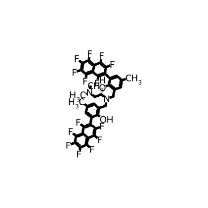 Cc1cc(CN(CCN(C)C)Cc2cc(C)cc(-c3c(F)c(F)c4c(F)c(F)c(F)c(F)c4c3F)c2O)c(O)c(-c2c(F)c(F)c3c(F)c(F)c(F)c(F)c3c2F)c1